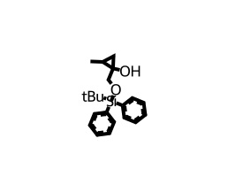 CC1CC1(O)CO[Si](c1ccccc1)(c1ccccc1)C(C)(C)C